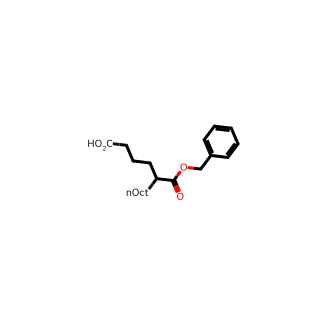 CCCCCCCCC(CCCC(=O)O)C(=O)OCc1ccccc1